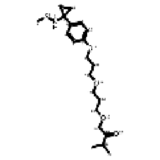 CSNC1(c2ccc(OCCCOCCCOCC(=O)C(C)C)cc2)CC1